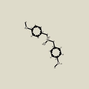 COc1ccc(C[NH+]([O-])Cc2ccc(OC)cc2)cc1